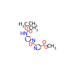 COC(=O)c1ccnc(-c2nc3cc(NC(=O)OC(C)(C)C)ccc3o2)c1